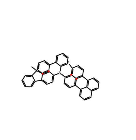 CC1(C)c2ccccc2-c2ccc(N(c3ccc(-c4cccc5cccc(-c6ccc(F)cc6)c45)cc3)c3ccccc3-c3ccccc3)cc21